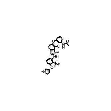 CC(=O)Nc1cc(Oc2cnc3nc(Nc4cccc(O[C@@H]5CCN(C)C5)c4C(F)(F)F)n(C)c3c2Cl)ccn1